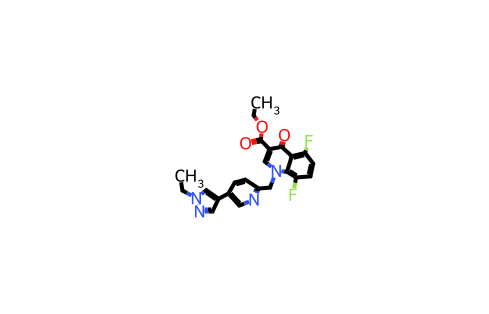 CCOC(=O)c1cn(Cc2ccc(-c3cnn(CC)c3)cn2)c2c(F)ccc(F)c2c1=O